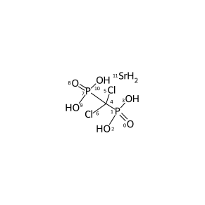 O=P(O)(O)C(Cl)(Cl)P(=O)(O)O.[SrH2]